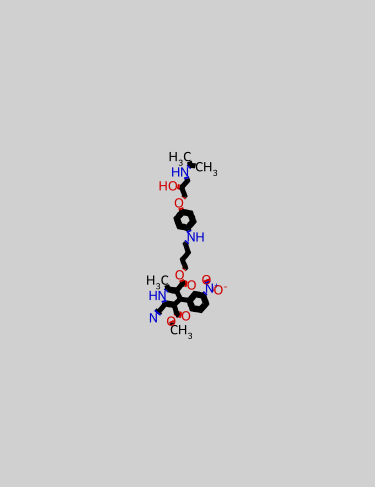 COC(=O)C1=C(C#N)NC(C)=C(C(=O)OCCCCNc2ccc(OCC(O)CNC(C)C)cc2)C1c1cccc([N+](=O)[O-])c1